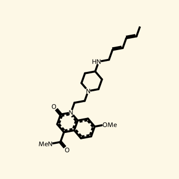 C/C=C/C=C/CNC1CCN(CCn2c(=O)cc(C(=O)NC)c3ccc(OC)cc32)CC1